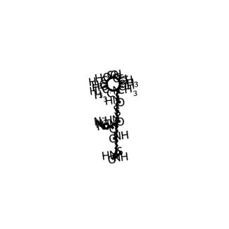 CC[C@H]1OC(=O)[C@H](C)[C@@H](O)[C@H](C)[C@@H](O)[C@](C)(O)C[C@@H](C)CN(CCCNC(=O)CCSSCCNC(=O)C(CCCCNC(=O)CCCCC2SCC3NC(=O)NC32)NC(=O)c2ccc(N=[N+]=[N-])cc2)[C@H](C)[C@@H](O)[C@]1(C)O